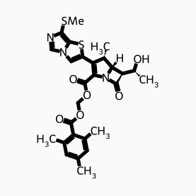 CSc1ncn2cc(C3=C(C(=O)OCOC(=O)c4c(C)cc(C)cc4C)N4C(=O)[C@H]([C@@H](C)O)[C@H]4[C@H]3C)sc12